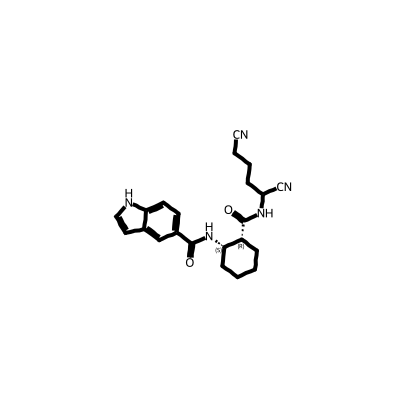 N#CCCCC(C#N)NC(=O)[C@@H]1CCCC[C@@H]1NC(=O)c1ccc2[nH]ccc2c1